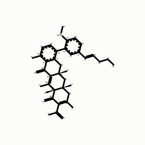 C=C(C)C1=C(C)C[C@@]2(C)C[C@@]3(C)Cc4c(-c5cc(/C=C/CCC)ccc5OC)ccc(C)c4C(=C)C3=C(C)[C@@]2(C)C1=C